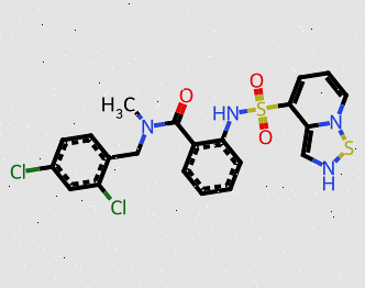 CN(Cc1ccc(Cl)cc1Cl)C(=O)c1ccccc1NS(=O)(=O)C1=CC=CN2SNC=C12